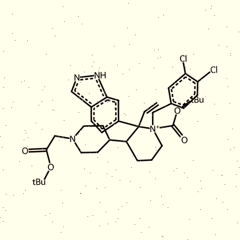 C=CC1(c2ccc3cn[nH]c3c2)C(C2CCN(CC(=O)OC(C)(C)C)CC2)CCC[N+]1(Cc1ccc(Cl)c(Cl)c1)C(=O)OC(C)(C)C